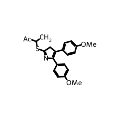 COc1ccc(C2=C(c3ccc(OC)cc3)N=C(SC(C)C(C)=O)C2)cc1